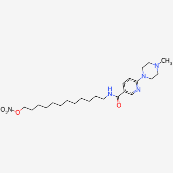 CN1CCN(c2ccc(C(=O)NCCCCCCCCCCCCO[N+](=O)[O-])cn2)CC1